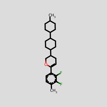 Cc1ccc(C2=CCC(C3CCC(C4CCC(C)CC4)CC3)CO2)c(F)c1F